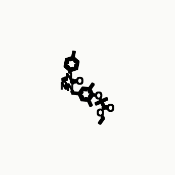 CCOC(=O)C(C)(C)Oc1c(C)cc(Cn2ncn(-c3ccc(C)cc3)c2=O)cc1C